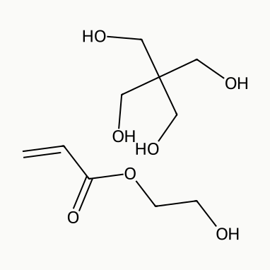 C=CC(=O)OCCO.OCC(CO)(CO)CO